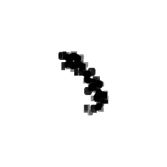 O=C(Cn1ncn(-c2cnn(CC(F)(F)F)c2)c1=O)NCc1ccc(Cl)c(F)c1